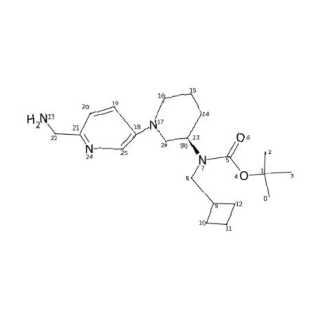 CC(C)(C)OC(=O)N(CC1CCC1)[C@@H]1CCCN(c2ccc(CN)nc2)C1